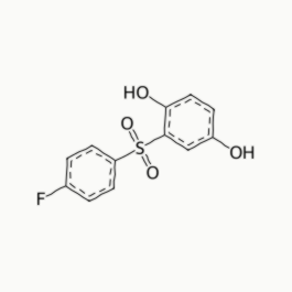 O=S(=O)(c1ccc(F)cc1)c1cc(O)ccc1O